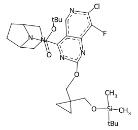 CC(C)(C)OC(=O)N1C2CCC1CN(c1nc(OCC3(CO[Si](C)(C)C(C)(C)C)CC3)nc3c(F)c(Cl)ncc13)C2